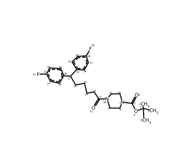 CC(C)(C)OC(=O)N1CCN(C(=O)CCCCC(c2ccc(F)cc2)c2ccc(F)cc2)CC1